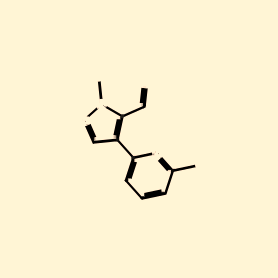 Cc1cccc(-c2cnn(C)c2[C]=O)n1